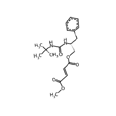 COC(=O)/C=C/C(=O)OC[C@@H](Cc1ccccc1)NC(=O)NC(C)(C)C